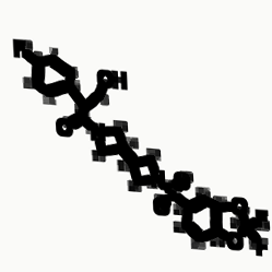 O=C(C(CO)c1ccc(F)cc1)N1CC(=C2CN(S(=O)(=O)c3ccc4c(c3)OC(F)(F)O4)C2)C1